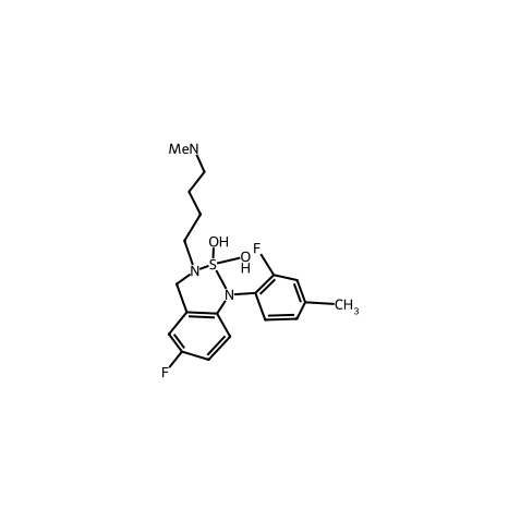 CNCCCCN1Cc2cc(F)ccc2N(c2ccc(C)cc2F)S1(O)O